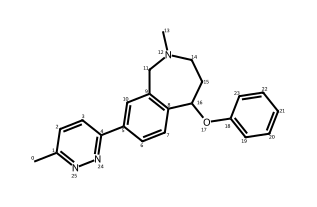 Cc1ccc(-c2ccc3c(c2)CN(C)CCC3Oc2ccccc2)nn1